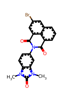 Cn1c(=O)n(C)c2cc(N3C(=O)c4cccc5cc(Br)cc(c45)C3=O)ccc21